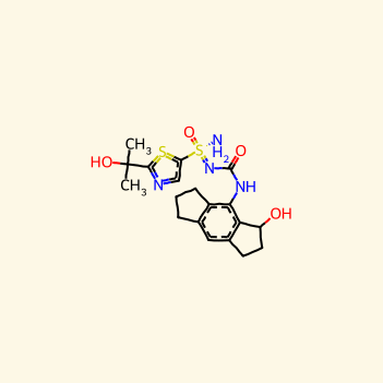 CC(C)(O)c1ncc([S@@](N)(=O)=NC(=O)Nc2c3c(cc4c2C(O)CC4)CCC3)s1